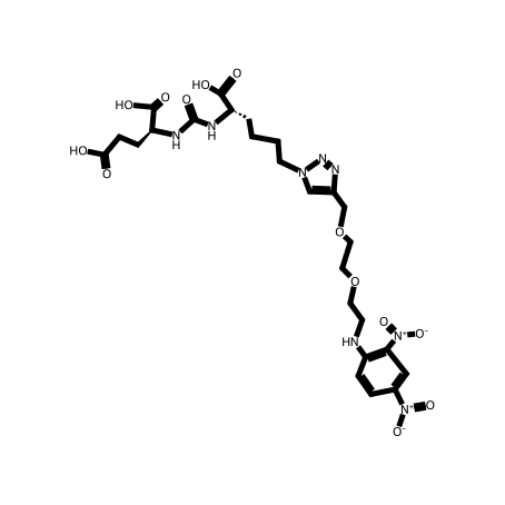 O=C(O)CC[C@H](NC(=O)N[C@@H](CCCCn1cc(COCCOCCNc2ccc([N+](=O)[O-])cc2[N+](=O)[O-])nn1)C(=O)O)C(=O)O